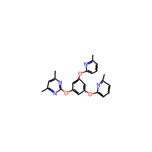 Cc1cccc(Oc2cc(Oc3cccc(C)n3)cc(Oc3nc(C)cc(C)n3)c2)n1